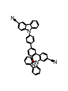 N#Cc1ccc(-c2cc(-c3ccc(-n4c5ccccc5c5cc(C#N)ccc54)cc3)ccc2C#N)c(-n2c3ccccc3c3ccccc32)c1